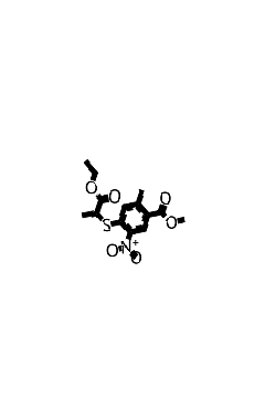 CCOC(=O)C(C)Sc1cc(C)c(C(=O)OC)cc1[N+](=O)[O-]